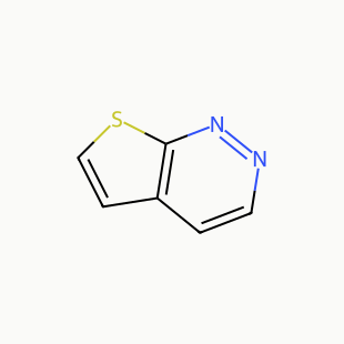 c1cc2ccsc2nn1